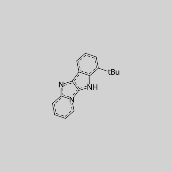 CC(C)(C)c1cccc2c1[nH]c1c2nc2ccccn21